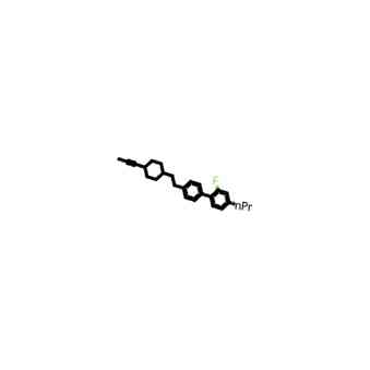 CC#CC1CCC(CCc2ccc(-c3ccc(CCC)cc3F)cc2)CC1